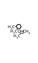 CCC(C)O.Cc1ccccc1C